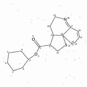 O=C(OC1CCCCC1)C1CSC23C=CC=CC2=NCCC13